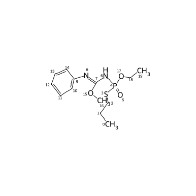 CCCSP(=O)(NC(=Nc1ccccc1)OC)OCC